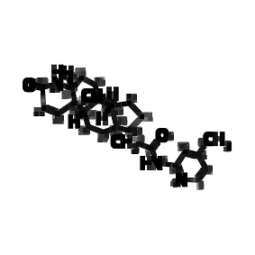 Cc1ccnc(NC(=O)C[C@H]2CC[C@H]3[C@@H]4CC[C@H]5NC(=O)C=C[C@]5(C)[C@H]4CC[C@]23C)c1